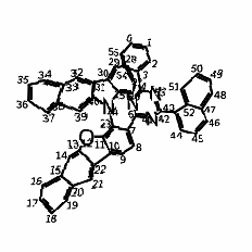 c1ccc(-c2nc(-c3ccc4c(oc5cc6ccccc6cc54)c3-n3c4ccccc4c4cc5ccccc5cc43)nc(-c3cccc4ccccc34)n2)cc1